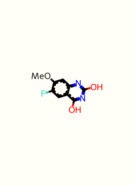 COc1cc2nc(O)nc(O)c2cc1F